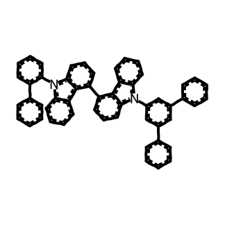 c1ccc(-c2cc(-c3ccccc3)cc(-n3c4ccccc4c4c(-c5cccc6c5c5ccccc5n6-c5ccccc5-c5ccccc5)cccc43)c2)cc1